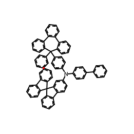 c1ccc(-c2ccc(N(c3ccc(C4(c5ccccc5)c5ccccc5-c5ccccc5-c5ccccc54)cc3)c3ccc4c(c3)C3(c5ccccc5-c5ccccc53)c3ccccc3-4)cc2)cc1